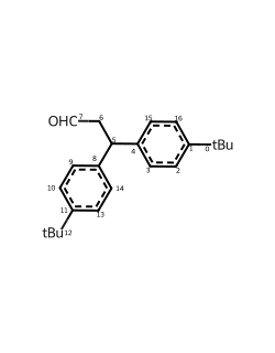 CC(C)(C)c1ccc(C(CC=O)c2ccc(C(C)(C)C)cc2)cc1